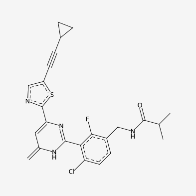 C=C1C=C(c2ncc(C#CC3CC3)s2)N=C(c2c(Cl)ccc(CNC(=O)C(C)C)c2F)N1